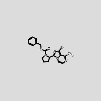 Cc1nccn2c(C3CCCN3C(=O)OCc3ccccc3)nc(Br)c12